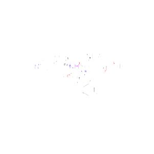 CC(=O)N[C@@H](CCC(=O)OC(C)(C)C)C(=O)N[C@@H](Cc1ccccc1)C(=O)N[C@@H](CCCCN)C(=O)O